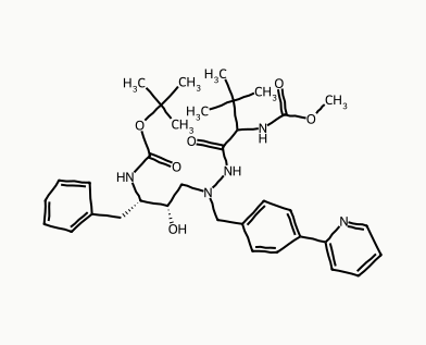 COC(=O)NC(C(=O)NN(Cc1ccc(-c2ccccn2)cc1)C[C@H](O)[C@H](Cc1ccccc1)NC(=O)OC(C)(C)C)C(C)(C)C